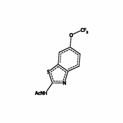 CC(=O)Nc1nc2ccc(OC(F)(F)F)cc2s1